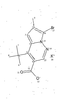 Cc1cc2c(C(C)(C)C)c(C(=O)[O-])cnn2c1Br.[K+]